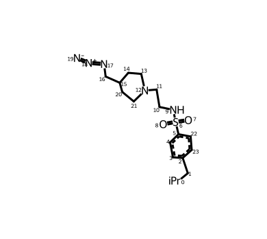 CC(C)Cc1ccc(S(=O)(=O)NCCN2CCC(CN=[N+]=[N-])CC2)cc1